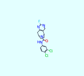 O=C(Nc1ccc(Cl)c(Cl)c1)N1C2CCC1c1cnc(F)nc1C2